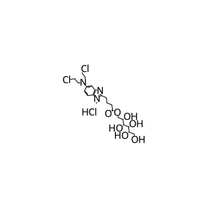 Cl.Cn1c(CCCC(=O)OCC(O)C(O)C(O)C(O)CO)nc2cc(N(CCCl)CCCl)ccc21